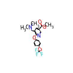 COC(=O)c1cnc(Oc2ccc(OC(F)(F)F)cc2)c(CN(C)C)c1